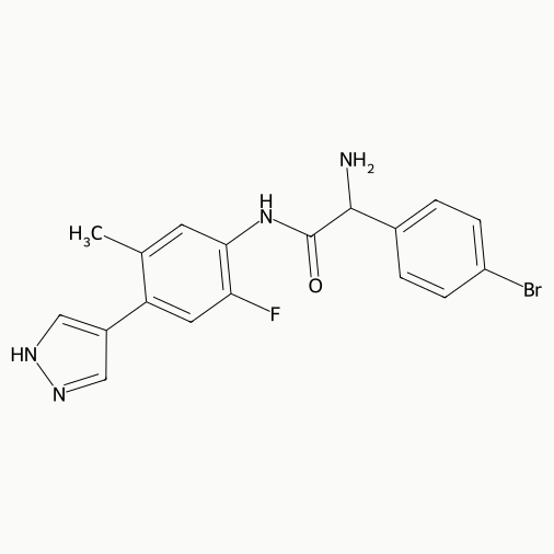 Cc1cc(NC(=O)C(N)c2ccc(Br)cc2)c(F)cc1-c1cn[nH]c1